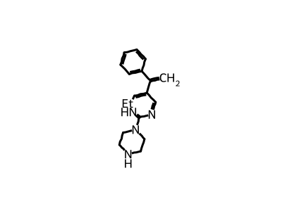 C=C(C(/C=N\C(=N)N1CCNCC1)=C/CC)c1ccccc1